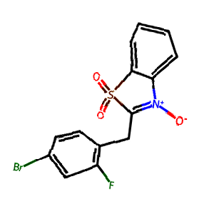 O=S1(=O)C(Cc2ccc(Br)cc2F)=[N+]([O-])c2ccccc21